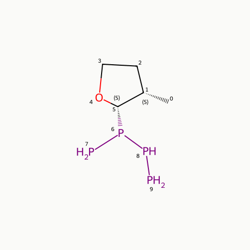 C[C@H]1CCO[C@H]1P(P)PP